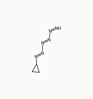 N=NN=NN=NC1CC1